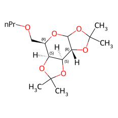 CCCOC[C@H]1OC2OC(C)(C)O[C@@H]2[C@H]2OC(C)(C)O[C@H]21